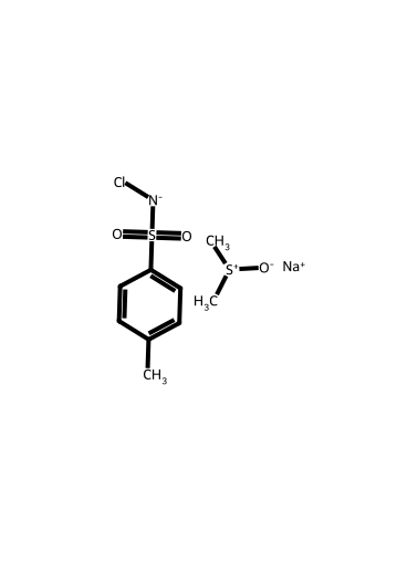 C[S+](C)[O-].Cc1ccc(S(=O)(=O)[N-]Cl)cc1.[Na+]